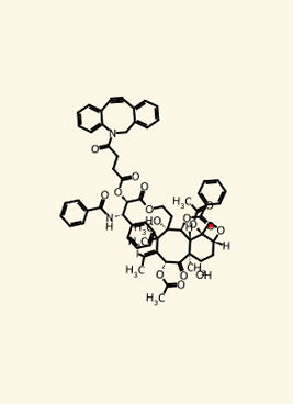 CC(=O)O[C@H]1C(=O)[C@@]2(C)[C@H]([C@H](OC(=O)c3ccccc3)[C@](O)(CCOC(=O)[C@H](OC(=O)CCC(=O)N3Cc4ccccc4C#Cc4ccccc43)[C@@H](NC(=O)c3ccccc3)c3ccccc3)C(C)(C)/C1=C(/C)I)[C@]1(OC(C)=O)CO[C@@H]1C[C@@H]2O